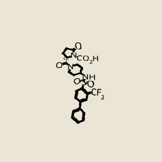 O=C([C@@H]1CCC(=O)N1C(=O)O)N1CCC(NS(=O)(=O)c2ccc(-c3ccccc3)cc2C(F)(F)F)CC1